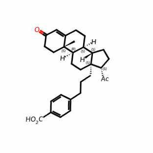 CC(=O)[C@H]1CC[C@H]2[C@@H]3CCC4=CC(=O)CC[C@@]4(C)[C@@H]3CC[C@]12CCCc1ccc(C(=O)O)cc1